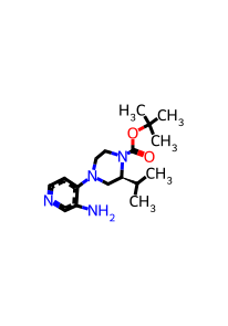 CC(C)[C@H]1CN(c2ccncc2N)CCN1C(=O)OC(C)(C)C